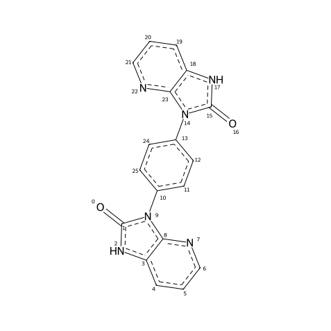 O=c1[nH]c2cccnc2n1-c1ccc(-n2c(=O)[nH]c3cccnc32)cc1